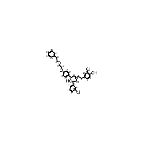 Oc1ccc(CCN(CCc2ccc(OCCOCCc3ccccc3)cc2)CC(O)c2cccc(Cl)c2)cc1Cl